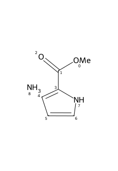 COC(=O)c1ccc[nH]1.N